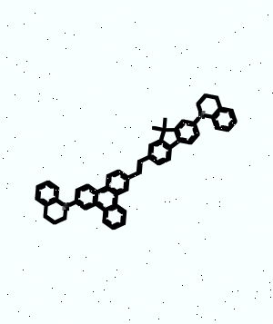 CC1(C)c2cc(/C=C/c3ccc4c5ccc(N6CCCc7ccccc76)cc5c5ccccc5c4c3)ccc2-c2ccc(N3CCCc4ccccc43)cc21